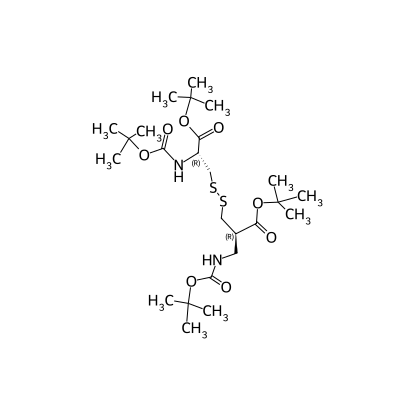 CC(C)(C)OC(=O)NC[C@@H](CSSC[C@H](NC(=O)OC(C)(C)C)C(=O)OC(C)(C)C)C(=O)OC(C)(C)C